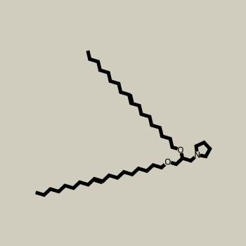 CCCCCCCCC=CCCCCCCCCOCC(CN1CCCC1)OCCCCCCCCC=CCCCCCCCC